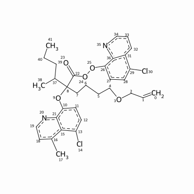 C=CCOCCCCC(Oc1ccc(Cl)c2c(C)ccnc12)(C(=O)OOc1ccc(Cl)c2cccnc12)C(C)CCC